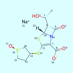 C[C@@H](O)[C@@H]1C(=O)N2C(C(=O)[O-])=C(S[C@H]3CC[S@@+]([O-])C3)S[C@H]12.[Na+]